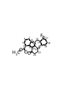 COC(=O)c1cccc2c1c1c(n2Cc2c(F)cccc2F)CCCC1=O